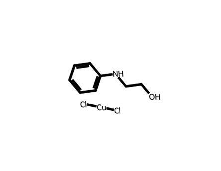 OCCNc1ccccc1.[Cl][Cu][Cl]